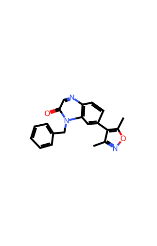 Cc1noc(C)c1-c1ccc2ncc(=O)n(Cc3ccccc3)c2c1